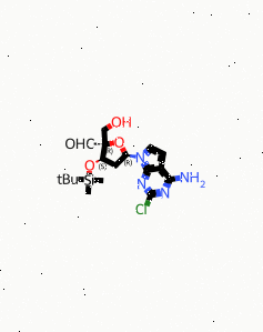 CC(C)(C)[Si](C)(C)O[C@H]1C[C@H](n2ccc3c(N)nc(Cl)nc32)O[C@]1(C=O)CO